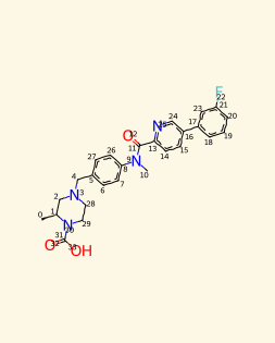 C[C@H]1CN(Cc2ccc(N(C)C(=O)c3ccc(-c4cccc(F)c4)cn3)cc2)CCN1C(=O)O